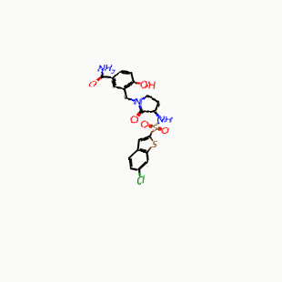 NC(=O)c1ccc(O)c(CN2CCC(NS(=O)(=O)c3cc4ccc(Cl)cc4s3)C2=O)c1